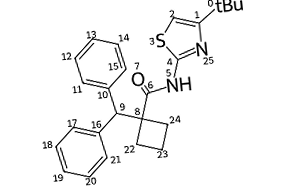 CC(C)(C)c1csc(NC(=O)C2(C(c3ccccc3)c3ccccc3)CCC2)n1